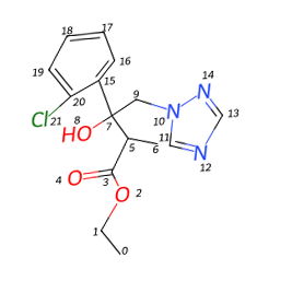 CCOC(=O)C(C)C(O)(Cn1cncn1)c1ccccc1Cl